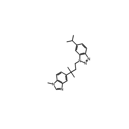 CC(C)c1ccc2nnn(CCC(C)(C)c3ccc4c(c3)ncn4C)c2c1